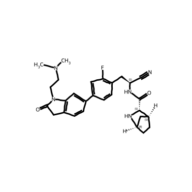 CN(C)CCN1C(=O)Cc2ccc(-c3ccc(C[C@@H](C#N)NC(=O)[C@H]4N[C@@H]5CC[C@H]4C5)c(F)c3)cc21